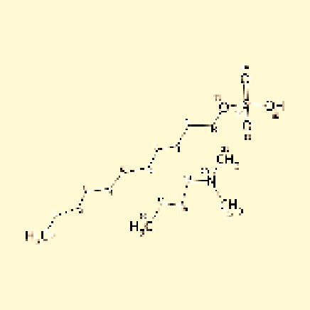 CCCCCCCCCCCOS(=O)(=O)O.CCCCN(C)C